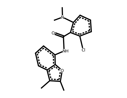 Cc1oc2c(NC(=O)c3c(Cl)cccc3N(C)C)cccc2c1C